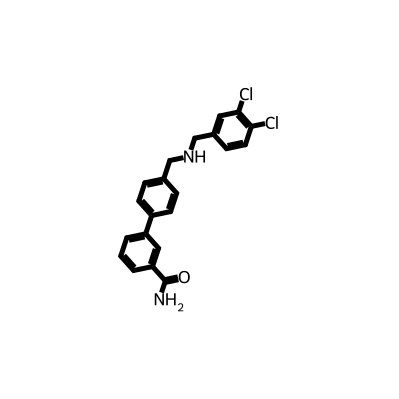 NC(=O)c1cccc(-c2ccc(CNCc3ccc(Cl)c(Cl)c3)cc2)c1